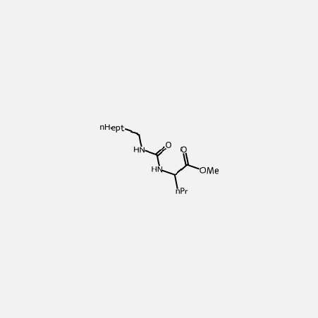 CCCCCCCCNC(=O)NC(CCC)C(=O)OC